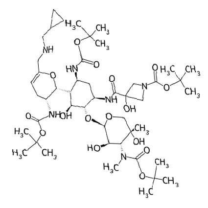 CN(C(=O)OC(C)(C)C)[C@@H]1[C@@H](O)[C@@H](O[C@H]2[C@H](NC(=O)C3(O)CN(C(=O)OC(C)(C)C)C3)C[C@H](NC(=O)OC(C)(C)C)C([C@H]3OC(CNCC4CC4)=CC[C@H]3NC(=O)OC(C)(C)C)[C@@H]2O)OC[C@]1(C)O